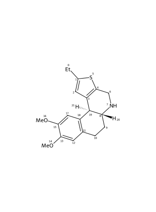 CCc1cc2c(s1)CN[C@@H]1CCc3cc(OC)c(OC)cc3[C@@H]21